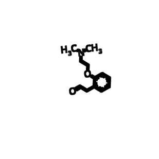 CN(C)CCOc1ccccc1CC=O